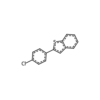 Clc1ccc(-c2cc3ccccc3s2)cc1